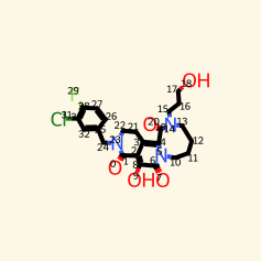 O=C1c2c(c3n(c(=O)c2O)CCCCN(CCCO)C3=O)CCN1Cc1ccc(F)c(Cl)c1